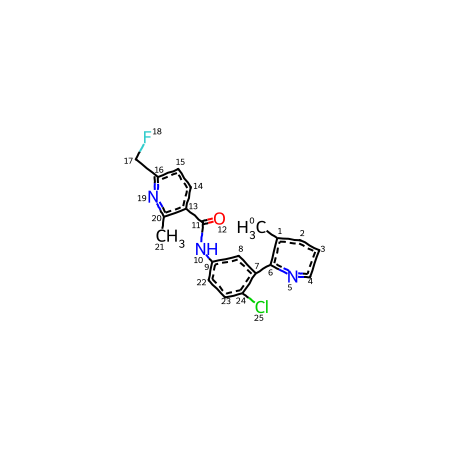 Cc1cccnc1-c1cc(NC(=O)c2ccc(CF)nc2C)ccc1Cl